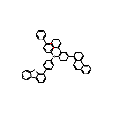 c1ccc(-c2ccc(N(c3ccc(-c4cccc5c4oc4ccccc45)cc3)c3ccc(-c4cccc5c4ccc4ccccc45)cc3-c3ccccc3)cc2)cc1